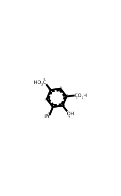 CC(C)c1cc(C(=O)O)cc(C(=O)O)c1O